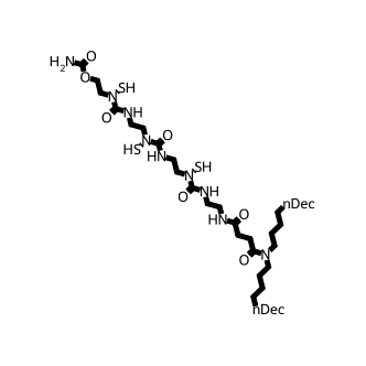 CCCCCCCCCCCCCCN(CCCCCCCCCCCCCC)C(=O)CCC(=O)NCCNC(=O)N(S)CCNC(=O)N(S)CCNC(=O)N(S)CCOC(N)=O